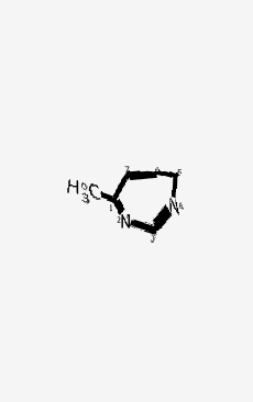 CC1=NC=NCC=C1